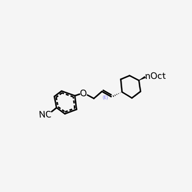 CCCCCCCC[C@H]1CC[C@H](/C=C/COc2ccc(C#N)cc2)CC1